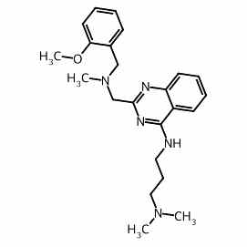 COc1ccccc1CN(C)Cc1nc(NCCCN(C)C)c2ccccc2n1